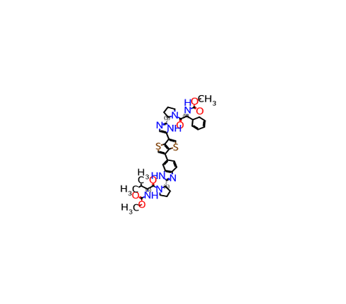 COC(=O)N[C@H](C(=O)N1CCC[C@H]1c1nc2ccc(-c3csc4c(-c5cnc([C@@H]6CCCN6C(=O)[C@H](NC(=O)OC)C6C=CC=CC6)[nH]5)csc34)cc2[nH]1)C(C)C